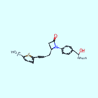 CCCCCC(O)c1ccc(N2C(=O)C[C@@H]2CC#Cc2ccc(C(=O)O)s2)cc1